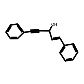 OC(C#Cc1ccccc1)/C=C/c1ccccc1